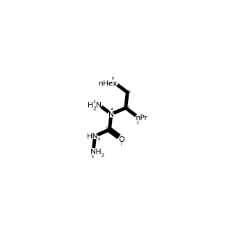 CCCCCCCC(CCC)N(N)C(=O)NN